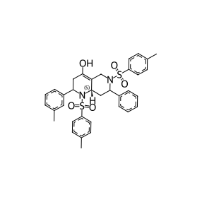 Cc1ccc(S(=O)(=O)N2CC3=C(O)CC(c4cccc(C)c4)N(S(=O)(=O)c4ccc(C)cc4)[C@H]3CC2c2ccccc2)cc1